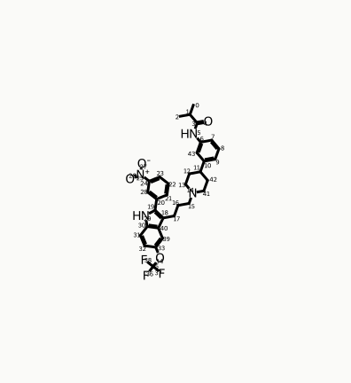 CC(C)C(=O)Nc1cccc(C2CCN(CCCc3c(-c4cccc([N+](=O)[O-])c4)[nH]c4ccc(OC(F)(F)F)cc34)CC2)c1